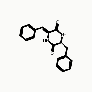 O=C1N[C@@H](Cc2ccccc2)C(=O)N/C1=C\c1ccccc1